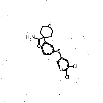 NC(=O)C1(c2cccc(Sc3cnc(Cl)c(Cl)c3)c2)CCOCC1